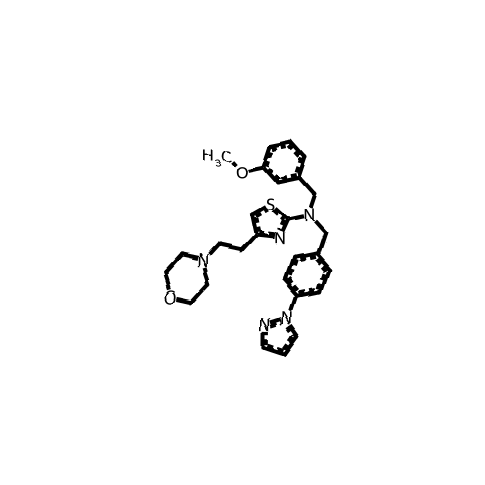 COc1cccc(CN(Cc2ccc(-n3cccn3)cc2)c2nc(CCN3CCOCC3)cs2)c1